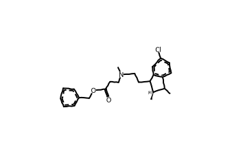 CC1c2ccc(Cl)cc2C(CCN(C)CCC(=O)OCc2ccccc2)[C@@H]1C